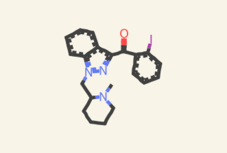 CN1CCCCC1Cn1nc(C(=O)c2ccccc2I)c2ccccc21